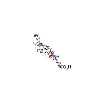 CC(C)CCC[C@@H](C)[C@H]1CCC2C3CC=C4CC(OC(=O)NCCCCCC(=O)O)CC[C@]4(C)C3CC[C@@]21C